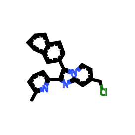 Cc1cccc(-c2nc3cc(CCl)ccn3c2-c2ccc3ccccc3c2)n1